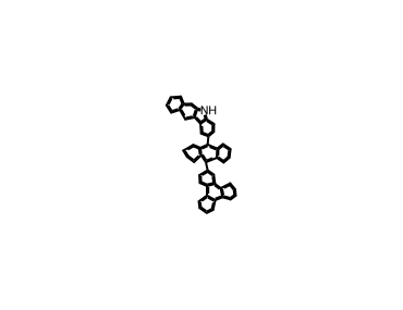 c1ccc2cc3c(cc2c1)[nH]c1ccc(-c2c4ccccc4c(-c4ccc5c6ccccc6c6ccccc6c5c4)c4ccccc24)cc13